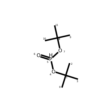 CC(C)(C)O[PH](=O)OC(C)(C)C